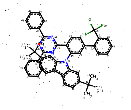 CC(C)(C)c1ccc2c3ccc(C(C)(C)C)cc3n(-c3cc(-c4ccccc4C(F)(F)F)ccc3-c3nc(-c4ccccc4)nc(-c4ccccc4)n3)c2c1